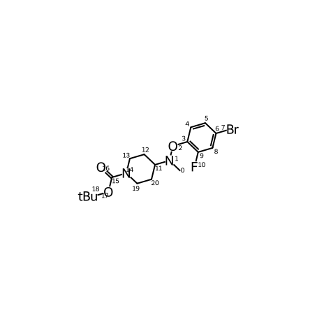 CN(Oc1ccc(Br)cc1F)C1CCN(C(=O)OC(C)(C)C)CC1